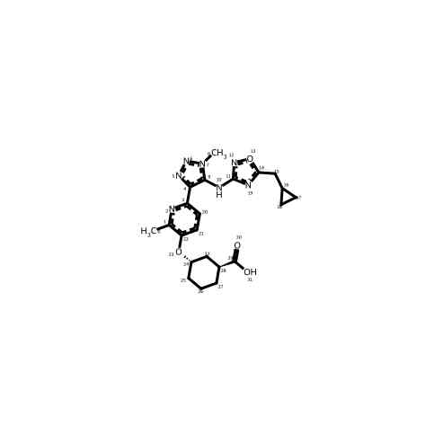 Cc1nc(-c2nnn(C)c2Nc2noc(CC3CC3)n2)ccc1O[C@H]1CCC[C@H](C(=O)O)C1